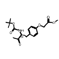 COC(=O)COc1ccc(C[C@H](NC(=O)OC(C)(C)C)C(C)=O)cc1